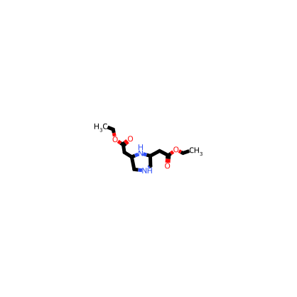 CCOC(=O)CC1CNCC(CC(=O)OCC)N1